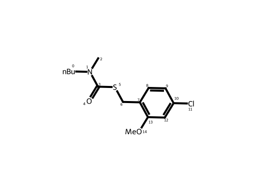 CCCCN(C)C(=O)SCc1ccc(Cl)cc1OC